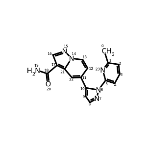 Cc1cccc(-n2nccc2-c2ccn3ncc(C(N)=O)c3c2)n1